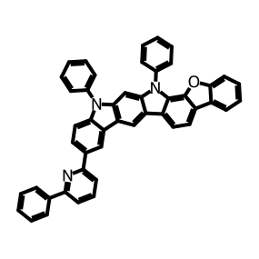 c1ccc(-c2cccc(-c3ccc4c(c3)c3cc5c6ccc7c8ccccc8oc7c6n(-c6ccccc6)c5cc3n4-c3ccccc3)n2)cc1